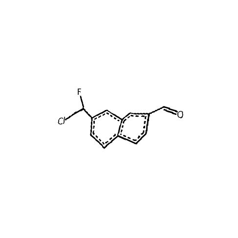 O=Cc1ccc2ccc(C(F)Cl)cc2c1